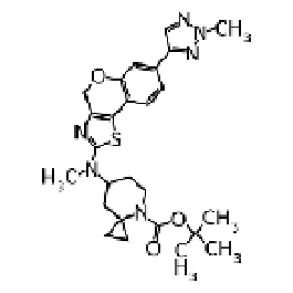 CN(c1nc2c(s1)-c1ccc(-c3cnn(C)n3)cc1OC2)C1CCN(C(=O)OC(C)(C)C)C2(CC2)C1